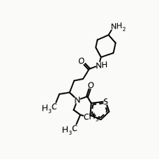 CCC(CCC(=O)NC1CCC(N)CC1)N(CC(C)C)C(=O)c1cccs1